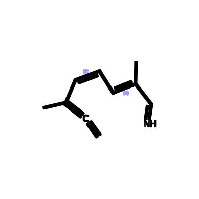 C=C=C(C)/C=C\C=C(/C)C=N